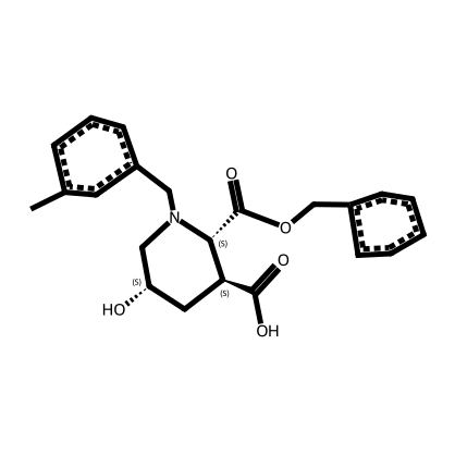 Cc1cccc(CN2C[C@@H](O)C[C@H](C(=O)O)[C@H]2C(=O)OCc2ccccc2)c1